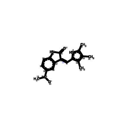 Cc1[nH]c(/C=C2\C(=O)Nc3ccc([S+](C)[O-])cc32)c(C)c1C